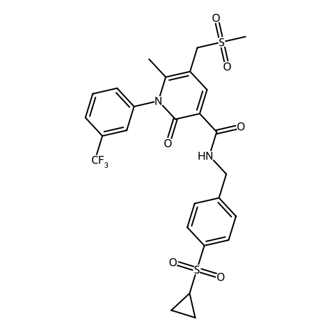 Cc1c(CS(C)(=O)=O)cc(C(=O)NCc2ccc(S(=O)(=O)C3CC3)cc2)c(=O)n1-c1cccc(C(F)(F)F)c1